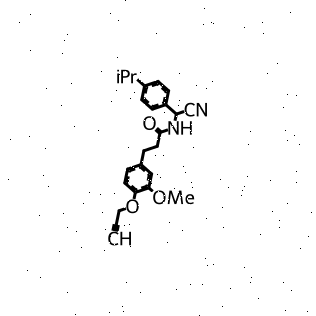 C#CCOc1ccc(CCC(=O)NC(C#N)c2ccc(C(C)C)cc2)cc1OC